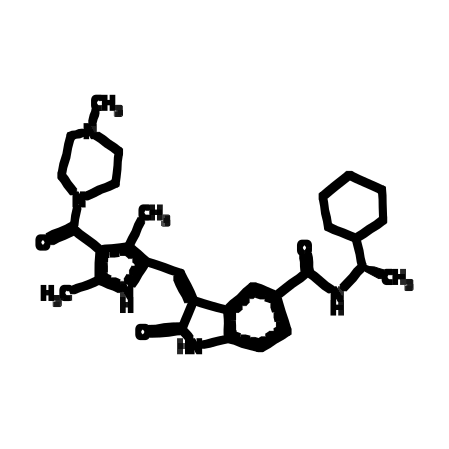 Cc1[nH]c(/C=C2\C(=O)Nc3ccc(C(=O)N[C@H](C)C4CCCCC4)cc32)c(C)c1C(=O)N1CCN(C)CC1